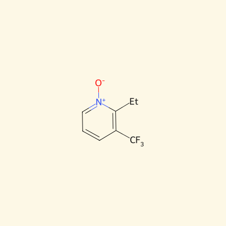 CCc1c(C(F)(F)F)ccc[n+]1[O-]